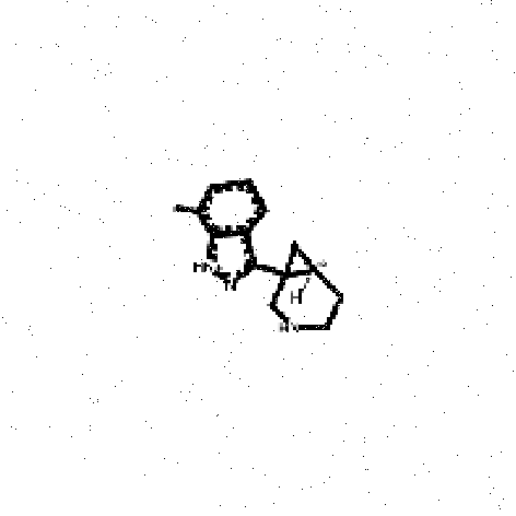 Cc1cccc2c(C34CNCC[C@@H]3C4)n[nH]c12